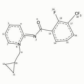 O=C(/N=c1\ccccn1CC1CC1)c1cccc(C(F)(F)F)c1F